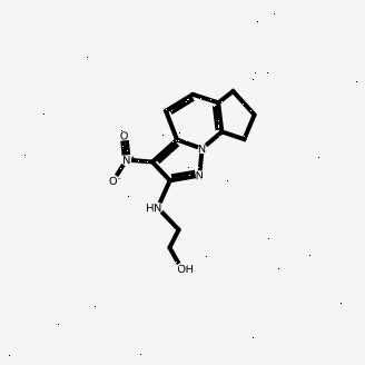 O=[N+]([O-])c1c(NCCO)nn2c3c(ccc12)CCC3